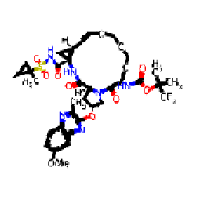 COc1ccc2nc(C)c(O[C@@H]3C[C@H]4C(=O)N[C@]5(C(=O)NS(=O)(=O)C6(C)CC6)C[C@H]5/C=C\CCCCC[C@H](NC(=O)OC(C)(C)C(F)(F)F)C(=O)N4C3)nc2c1